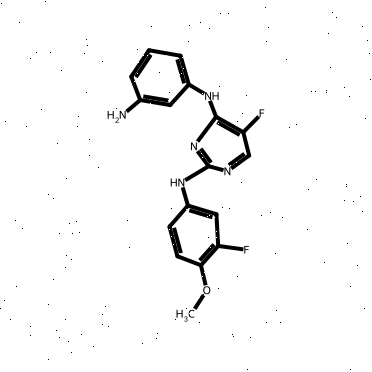 COc1ccc(Nc2ncc(F)c(Nc3cccc(N)c3)n2)cc1F